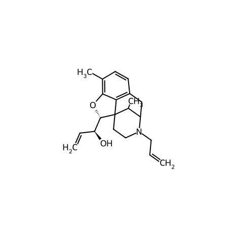 C=CCN1CCC23c4c(ccc(C)c4O[C@H]2[C@@H](O)C=C)CC1C3C